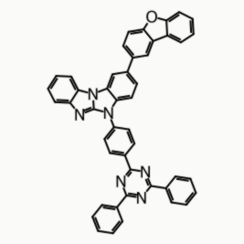 c1ccc(-c2nc(-c3ccccc3)nc(-c3ccc(-n4c5ccc(-c6ccc7oc8ccccc8c7c6)cc5n5c6ccccc6nc45)cc3)n2)cc1